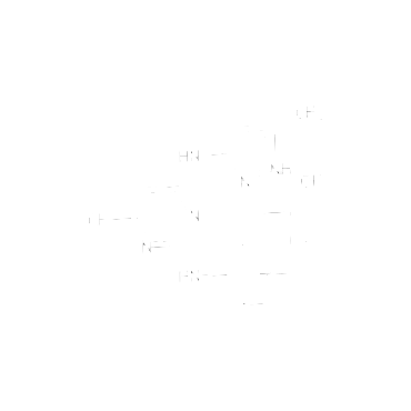 Cc1cc(Nc2cc(Cl)nc(NC3C4CC5CC3CC(O)(C5)C4)n2)n[nH]1